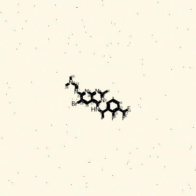 Cc1nc(NC(C)c2cccc(C(F)F)c2F)c2cc(Br)c(N=CN(C)C)nc2n1